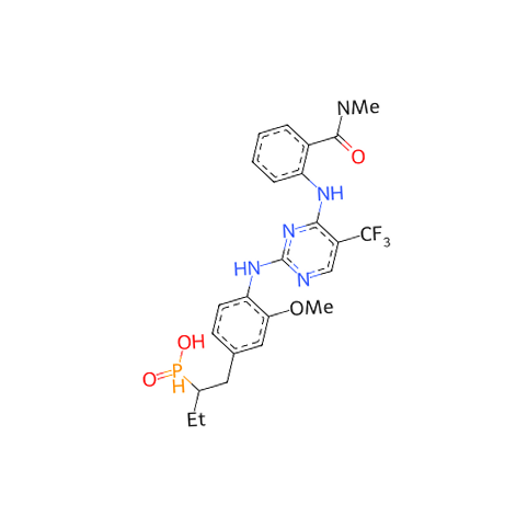 CCC(Cc1ccc(Nc2ncc(C(F)(F)F)c(Nc3ccccc3C(=O)NC)n2)c(OC)c1)[PH](=O)O